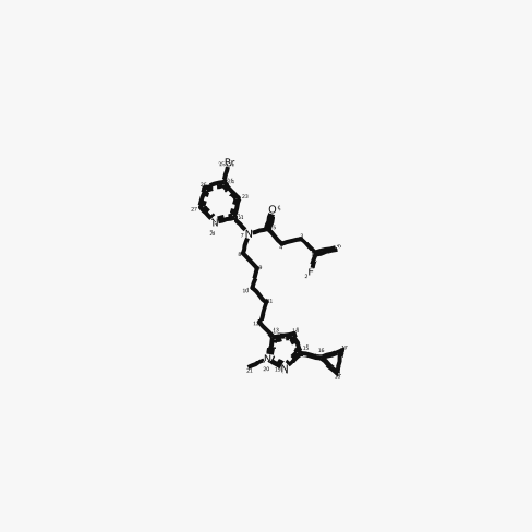 C=C(F)CCC(=O)N(CCCCCc1cc(C2CC2)nn1C)c1cc(Br)ccn1